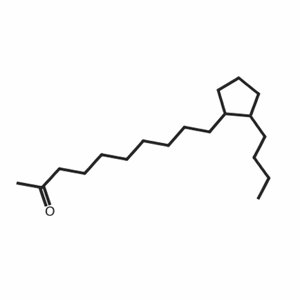 CCCCC1CCCC1CCCCCCCCC(C)=O